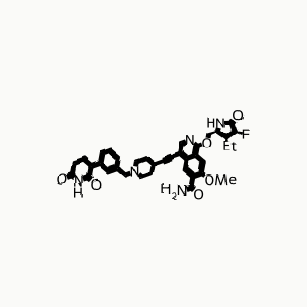 CC[C@@H]1[C@H](F)C(=O)N[C@@H]1COc1ncc(C#CC2CCN(Cc3cccc(C4CCC(=O)NC4=O)c3)CC2)c2cc(C(N)=O)c(OC)cc12